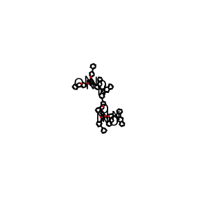 c1ccc(-c2ccc(-c3nc(-c4ccc5c(c4)oc4ccccc45)nc(-c4ccc(-n5c6ccc(-c7ccc8oc9c(-c%10nc(-c%11cccc(-c%12ccccc%12)c%11)nc(-c%11ccc(-n%12c%13ccccc%13c%13cc%14ccccc%14cc%13%12)c%12oc%13ccccc%13c%11%12)n%10)cccc9c8c7)cc6c6cc7ccccc7cc65)c5oc6ccccc6c45)n3)cc2)cc1